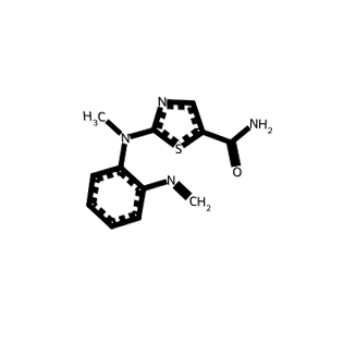 C=Nc1ccccc1N(C)c1ncc(C(N)=O)s1